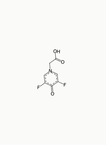 O=C(O)Cn1cc(F)c(=O)c(F)c1